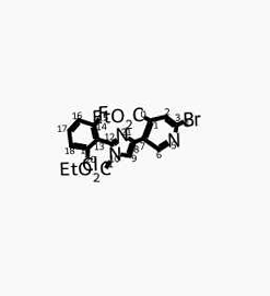 CCOC(=O)c1cc(Br)ncc1-c1cn(C(=O)OCC)c(-c2c(F)cccc2Cl)n1